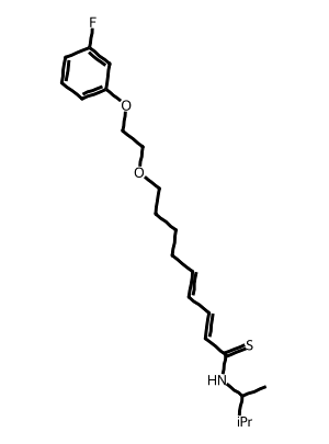 CC(C)C(C)NC(=S)C=CC=CCCCCOCCOc1cccc(F)c1